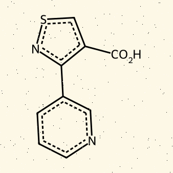 O=C(O)c1csnc1-c1cccnc1